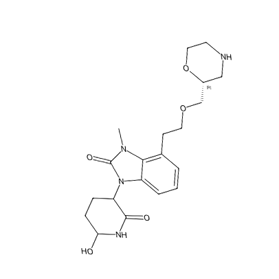 Cn1c(=O)n(C2CCC(O)NC2=O)c2cccc(CCOC[C@H]3CNCCO3)c21